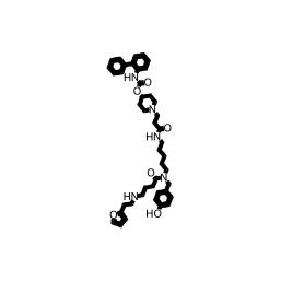 O=C(CCN1CCC(OC(=O)Nc2ccccc2-c2ccccc2)CC1)NCCCCCN(Cc1ccc(O)cc1)C(=O)CCCNCCc1ccco1